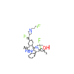 C[C@@H]1Cc2c([nH]c3ccccc23)[C@@H](c2ccc([C@@H](F)C3CN(CCCF)C3)cc2C#N)N1CC(F)(F)CO